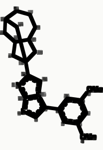 COc1cc(OC)cc(-c2csc3nc(C45CC6CCCC(C4)C(C6)C5)cn23)c1